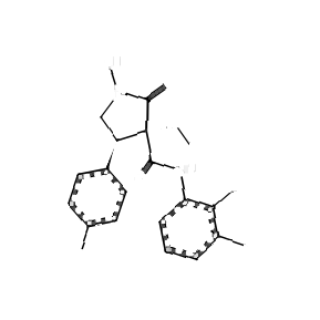 CN1C[C@H](c2ccc(C(F)(F)F)cc2)[C@](CO)(C(=O)Nc2cccc(F)c2F)C1=O